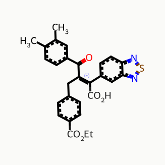 CCOC(=O)c1ccc(C/C(C(=O)c2ccc(C)c(C)c2)=C(\C(=O)O)c2ccc3nsnc3c2)cc1